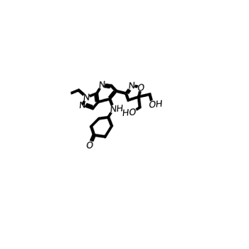 CCn1ncc2c(NC3CCC(=O)CC3)c(C3=NOC(CO)(CO)C3)cnc21